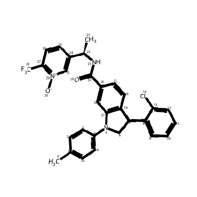 Cc1ccc(N2CC(c3ccccc3Cl)c3ccc(C(=O)N[C@H](C)c4ccc(C(F)(F)F)[n+]([O-])c4)cc32)cc1